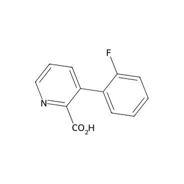 O=C(O)c1ncccc1-c1ccccc1F